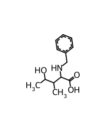 CC(O)C(C)C(NCc1ccccc1)C(=O)O